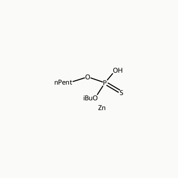 CCCCCOP(O)(=S)OCC(C)C.[Zn]